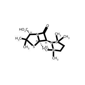 CC1(C)S[C@@H]2[C@H](N3[Si](C)(C)CC[Si]3(C)C)C(=O)N2[C@H]1C(=O)O